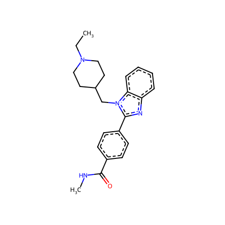 CCN1CCC(Cn2c(-c3ccc(C(=O)NC)cc3)nc3ccccc32)CC1